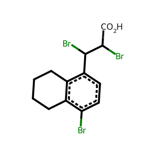 O=C(O)C(Br)C(Br)c1ccc(Br)c2c1CCCC2